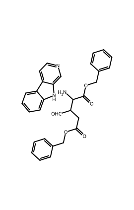 NC(C(=O)OCc1ccccc1)C(C=O)CC(=O)OCc1ccccc1.c1ccc2c(c1)[nH]c1cnccc12